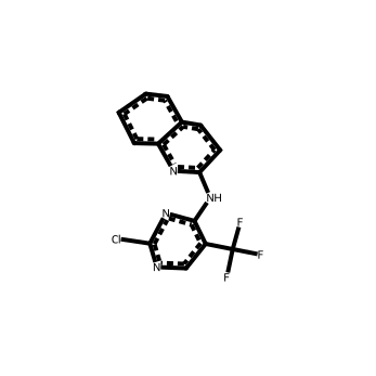 FC(F)(F)c1cnc(Cl)nc1Nc1ccc2ccccc2n1